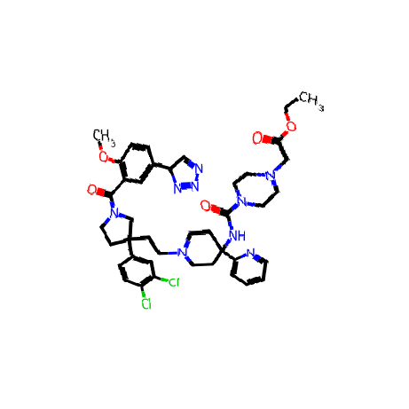 CCOC(=O)CN1CCN(C(=O)NC2(c3ccccn3)CCN(CCC3(c4ccc(Cl)c(Cl)c4)CCN(C(=O)c4cc(C5C=NN=N5)ccc4OC)C3)CC2)CC1